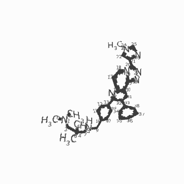 CN(C)CC(C)(C)CNCc1ccc(-c2nc3ccn4c(-c5cn(C)cn5)nnc4c3cc2-c2ccccc2)cc1